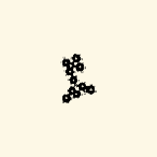 c1ccc(-c2ccc(N(c3ccc(-c4ccc5c(c4)c(-c4ccccc4)c(-c4ccccc4)c4ccccc45)cc3)c3ccc4c(c3)sc3ccccc34)c3ccccc23)cc1